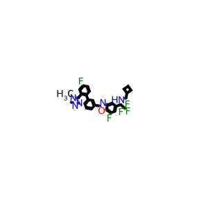 Cn1cnnc1-c1cc(F)ccc1-c1cccc(-c2nc3cc(C(NCC4CCC4)C(F)(F)F)cc(F)c3o2)c1